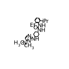 CCc1cccc(C(C)C)c1NC(=O)NC1CCC(Nc2nccc(N(C)C)n2)CC1